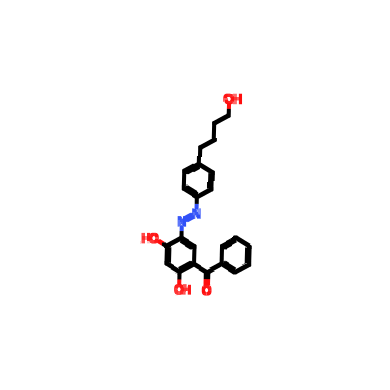 O=C(c1ccccc1)c1cc(N=Nc2ccc(CCCCO)cc2)c(O)cc1O